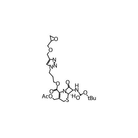 CC(=O)OCC1=C(C(=O)OCCCn2cc(COCC3CO3)nn2)N2C(=O)[C@@H](NC(=O)OC(C)(C)C)[C@H]2SC1